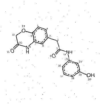 O=C(Cc1ccc2c(c1)NC(=O)CO2)Nc1cccc(O)c1